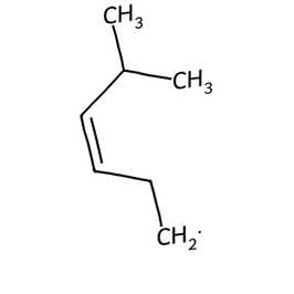 [CH2]C/C=C\C(C)C